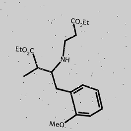 CCOC(=O)CCNC(Cc1ccccc1OC)C(C)C(=O)OCC